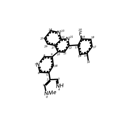 CN/C=C(\C=N)c1cncc(-c2cc(-c3cc(C)ccc3F)nc3ncccc23)c1